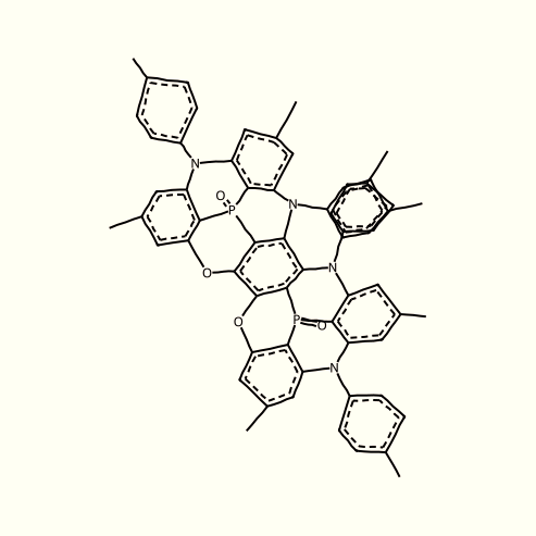 Cc1ccc(N2c3cc(C)cc4c3P3(=O)c5c2cc(C)cc5N(c2ccc(C)cc2)c2c5c6c(c(c23)O4)Oc2cc(C)cc3c2P6(=O)c2c(cc(C)cc2N5c2ccc(C)cc2)N3c2ccc(C)cc2)cc1